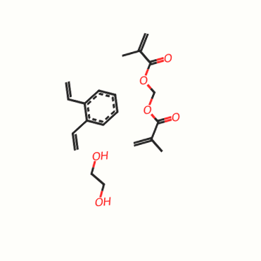 C=C(C)C(=O)OCOC(=O)C(=C)C.C=Cc1ccccc1C=C.OCCO